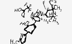 Cn1ncc(-c2ccc(-c3cnc(N[C@H]4CC(C)(C)NC(C)(C)[C@H]4F)nn3)c(O)c2)n1.O=C(O)C(F)(F)F